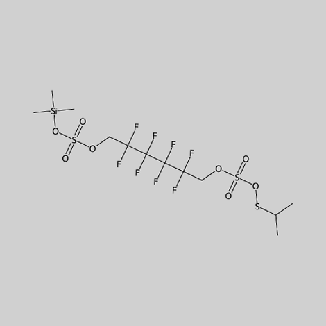 CC(C)SOS(=O)(=O)OCC(F)(F)C(F)(F)C(F)(F)C(F)(F)COS(=O)(=O)O[Si](C)(C)C